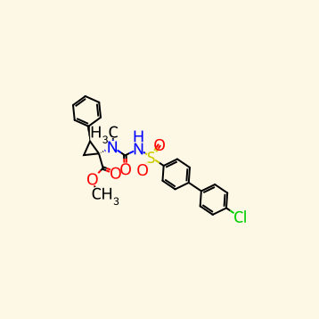 COC(=O)[C@@]1(N(C)C(=O)NS(=O)(=O)c2ccc(-c3ccc(Cl)cc3)cc2)C[C@H]1c1ccccc1